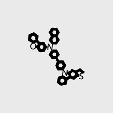 c1ccc2cc(N(c3ccc(-c4ccc(-n5c6ccccc6c6cc7sccc7cc65)cc4)cc3)c3ccc4oc5ccccc5c4c3)ccc2c1